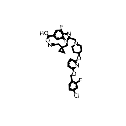 N#CCC1(Cn2c(CN3CCC(Oc4cccc(OCc5ccc(Cl)cc5F)n4)CC3)nc3c(F)cc(C(=O)O)cc32)CC1